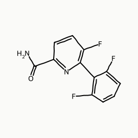 NC(=O)c1ccc(F)c(-c2c(F)cccc2F)n1